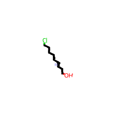 OCC/C=C/CCCCCCl